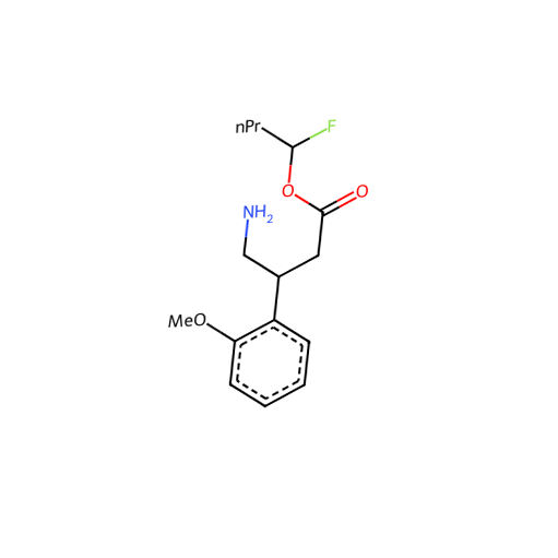 CCCC(F)OC(=O)CC(CN)c1ccccc1OC